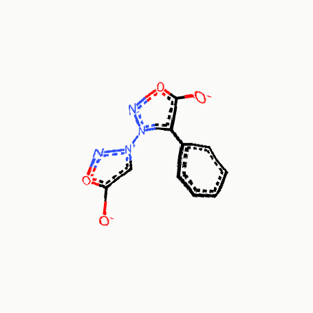 [O-]c1c[n+](-[n+]2noc([O-])c2-c2ccccc2)no1